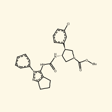 CC(C)(C)OC(=O)N1C[C@H](NC(=O)Nc2c3c(nn2-c2ccccc2)CCC3)[C@@H](c2cccc(Cl)c2)C1